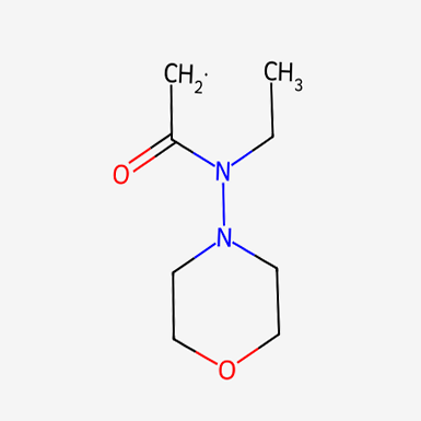 [CH2]C(=O)N(CC)N1CCOCC1